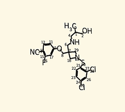 CC(CO)CNCC1(COc2ccc(C#N)c(F)c2)CN(Sc2ccc(Cl)cc2Cl)C1